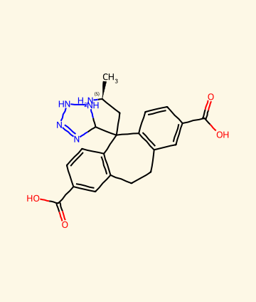 C[C@H](N)CC1(C2N=NNN2)c2ccc(C(=O)O)cc2CCc2cc(C(=O)O)ccc21